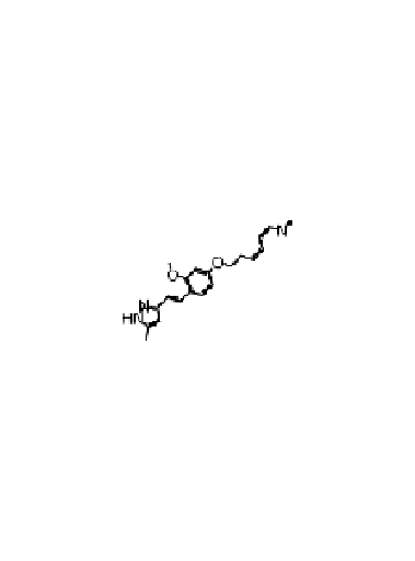 C=N/C=C\C=C/CCOc1ccc(/C=C/c2cc(C)[nH]n2)c(OC)c1